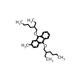 CCCCC(CC)COc1c2ccccc2c(OCC(CC)CCCC)c2cc(C)ccc12